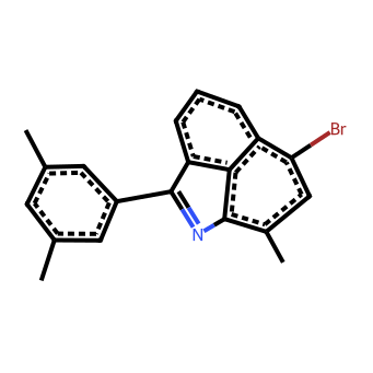 Cc1cc(C)cc(C2=Nc3c(C)cc(Br)c4cccc2c34)c1